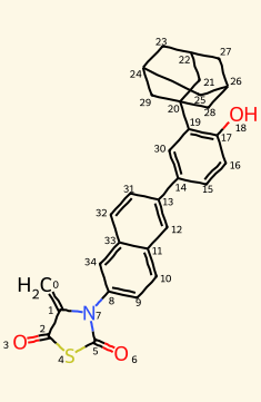 C=C1C(=O)SC(=O)N1c1ccc2cc(-c3ccc(O)c(C45CC6CC(CC(C6)C4)C5)c3)ccc2c1